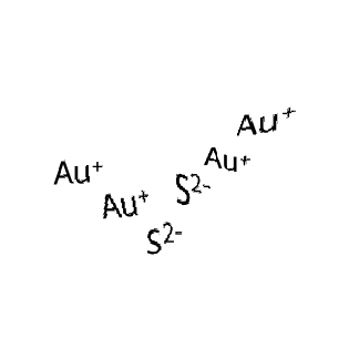 [Au+].[Au+].[Au+].[Au+].[S-2].[S-2]